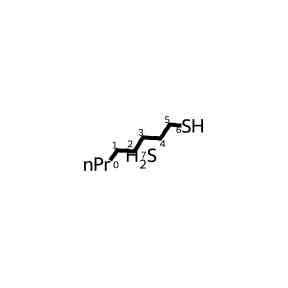 CCCCCCCCS.S